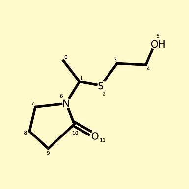 CC(SCCO)N1CCCC1=O